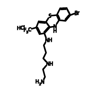 Cl.NCCNCCCNc1cc(C(F)(F)F)cc2c1Nc1cc(Br)ccc1S2